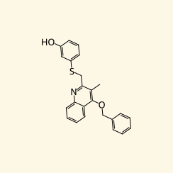 Cc1c(CSc2cccc(O)c2)nc2ccccc2c1OCc1ccccc1